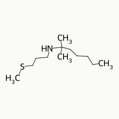 CCCCCC(C)(C)NCCCSC